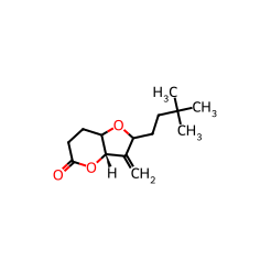 C=C1C(CCC(C)(C)C)OC2CCC(=O)O[C@@H]12